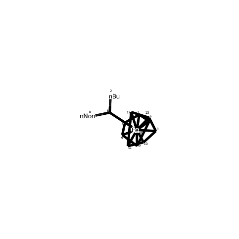 CCCCCCCCCC(CCCC)[C]12[CH]3[CH]4[CH]5[CH]1[Fe]45321678[CH]2[CH]1[CH]6[CH]7[CH]28